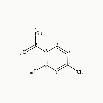 CC(C)(C)C(=O)c1ccc(Cl)cc1F